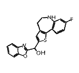 OC(c1nc2ccccc2o1)c1cc2c(s1)-c1ccc(F)cc1NCC2